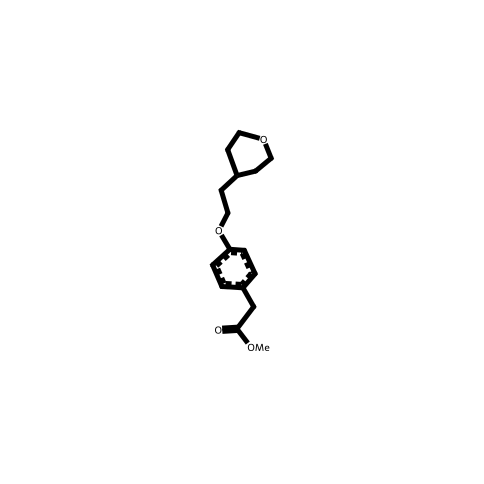 COC(=O)Cc1ccc(OCCC2CCOCC2)cc1